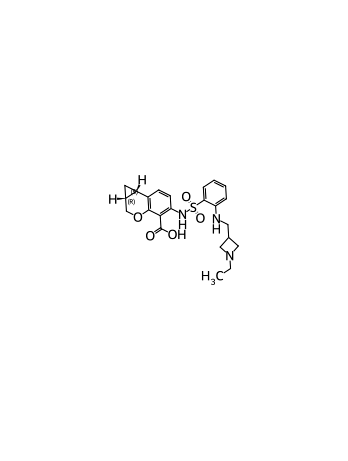 CCN1CC(CNc2ccccc2S(=O)(=O)Nc2ccc3c(c2C(=O)O)OC[C@@H]2C[C@H]32)C1